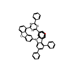 c1ccc(-c2cc(-c3ccccc3)c3c4ccccc4n(-c4ccc5oc6cccc(-c7nc(-c8ccccc8)nc(-c8ccccc8)n7)c6c5c4)c3c2)cc1